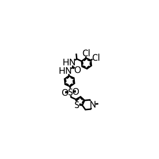 CC(NC(=O)Nc1ccc(S(=O)(=O)Cc2cc3c(s2)CCN(C)C3)cc1)c1cccc(Cl)c1Cl